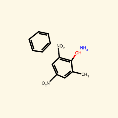 Cc1cc([N+](=O)[O-])cc([N+](=O)[O-])c1O.N.c1ccccc1